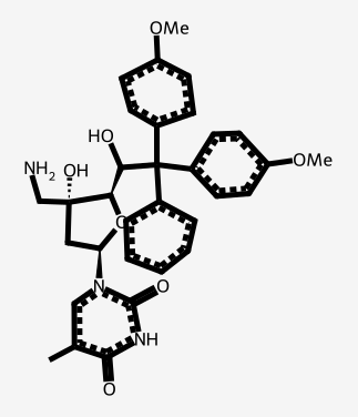 COc1ccc(C(c2ccccc2)(c2ccc(OC)cc2)C(O)[C@H]2O[C@@H](n3cc(C)c(=O)[nH]c3=O)C[C@@]2(O)CN)cc1